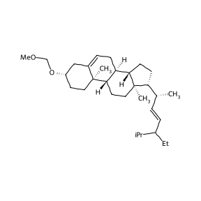 CCC(C=C[C@@H](C)[C@H]1CC[C@H]2[C@@H]3CC=C4C[C@@H](OCOC)CC[C@]4(C)[C@H]3CC[C@]12C)C(C)C